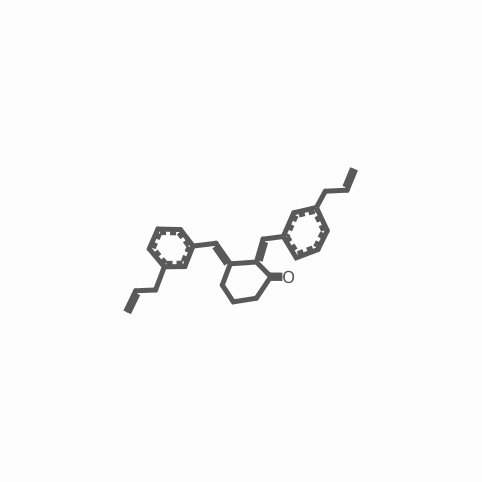 C=CCc1cccc(C=C2CCCC(=O)C2=Cc2cccc(CC=C)c2)c1